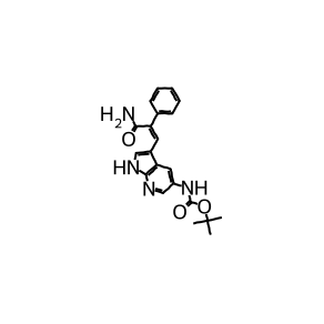 CC(C)(C)OC(=O)Nc1cnc2[nH]cc(C=C(C(N)=O)c3ccccc3)c2c1